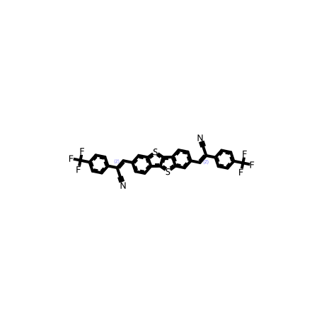 N#C/C(=C\c1ccc2c(c1)sc1c3ccc(/C=C(\C#N)c4ccc(C(F)(F)F)cc4)cc3sc21)c1ccc(C(F)(F)F)cc1